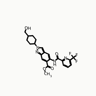 COC(=O)c1cc2nn(C3CCC(CO)CC3)cc2cc1NC(=O)c1cccc(C(F)(F)F)n1